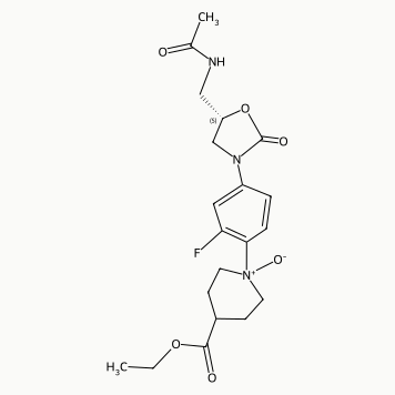 CCOC(=O)C1CC[N+]([O-])(c2ccc(N3C[C@H](CNC(C)=O)OC3=O)cc2F)CC1